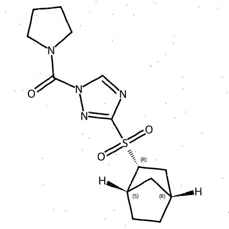 O=C(N1CCCC1)n1cnc(S(=O)(=O)[C@@H]2C[C@@H]3CC[C@H]2C3)n1